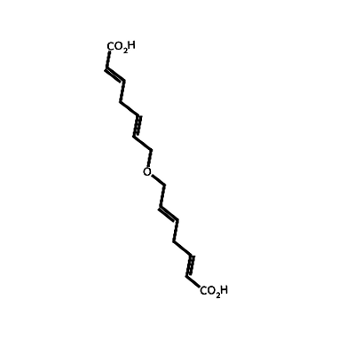 O=C(O)C=CCC=CCOCC=CCC=CC(=O)O